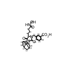 O=C(CCCC1C(=O)N(C23CC4CC(CC(C4)C2)C3)C(=O)N1Cc1cccc(C(=O)O)c1)NO